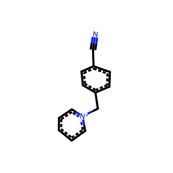 N#Cc1ccc(C[n+]2ccccc2)cc1